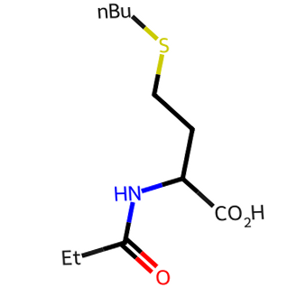 CCCCSCCC(NC(=O)CC)C(=O)O